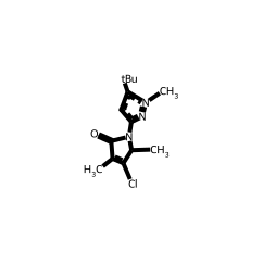 CC1=C(Cl)C(C)N(c2cc(C(C)(C)C)n(C)n2)C1=O